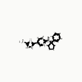 FC(F)(F)c1nnc(-c2cnc(NC3(c4ccccc4)CCCC3)nc2)o1